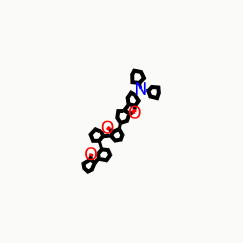 c1ccc(N(c2ccccc2)c2ccc3c(c2)oc2cc(-c4cccc5c4oc4cccc(-c6cccc7c6oc6ccccc67)c45)ccc23)cc1